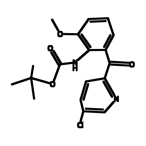 COc1cccc(C(=O)c2ccc(Cl)cn2)c1NC(=O)OC(C)(C)C